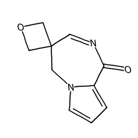 O=C1N=CC2(COC2)Cn2cccc21